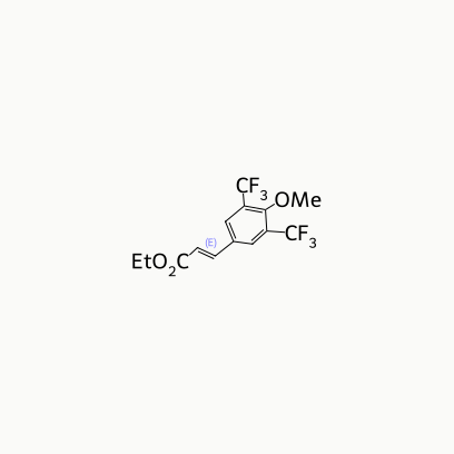 CCOC(=O)/C=C/c1cc(C(F)(F)F)c(OC)c(C(F)(F)F)c1